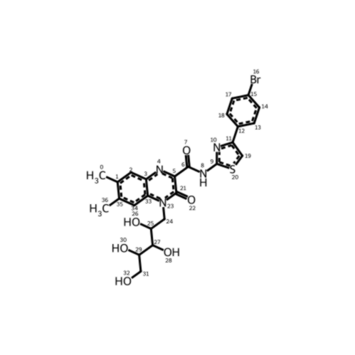 Cc1cc2nc(C(=O)Nc3nc(-c4ccc(Br)cc4)cs3)c(=O)n(CC(O)C(O)C(O)CO)c2cc1C